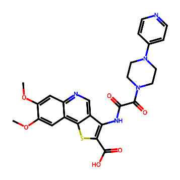 COc1cc2ncc3c(NC(=O)C(=O)N4CCN(c5ccncc5)CC4)c(C(=O)O)sc3c2cc1OC